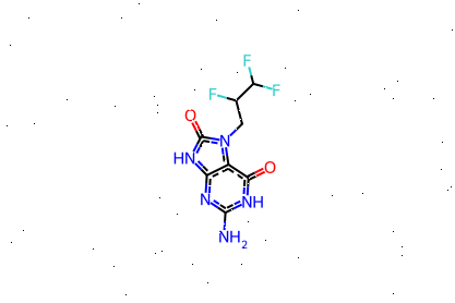 Nc1nc2[nH]c(=O)n(CC(F)C(F)F)c2c(=O)[nH]1